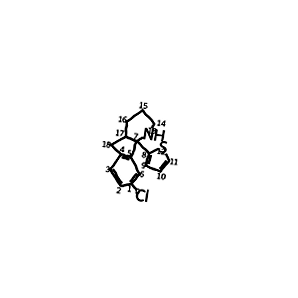 Clc1ccc2c(c1)C1(c3cccs3)NCCCC1C2